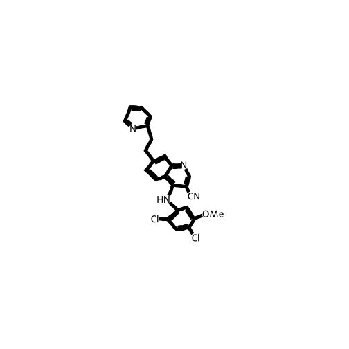 COc1cc(Nc2c(C#N)cnc3cc(CCc4ccccn4)ccc23)c(Cl)cc1Cl